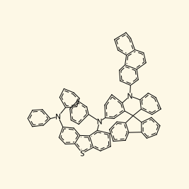 c1ccc(N(c2ccccc2)c2ccc3sc4cccc(N(c5ccccc5)c5ccc6c(c5)C5(c7ccccc7-c7ccccc75)c5ccccc5N6c5ccc6c(ccc7ccccc76)c5)c4c3c2)cc1